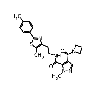 Cc1ccc(-c2nc(CCNC(=O)c3c(C(=O)N4CCC4)cnn3C)c(C)s2)cc1